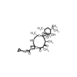 CO[C@]1(C)C[C@@H](C)CNCC2(CN(C(=O)CNC3CC3)C2)OC(=O)C(C)C(=O)[C@H](C)[C@H]1O[C@@H]1O[C@H](C)C[C@H](N(C)C)[C@H]1O